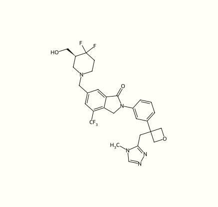 Cn1cnnc1CC1(c2cccc(N3Cc4c(cc(CN5CCC(F)(F)[C@H](CO)C5)cc4C(F)(F)F)C3=O)c2)COC1